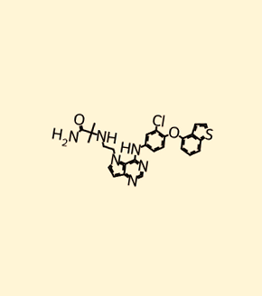 CC(C)(NCCn1ccc2ncnc(Nc3ccc(Oc4cccc5sccc45)c(Cl)c3)c21)C(N)=O